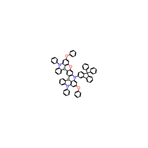 c1ccc(Oc2cc3c4c(c2)N(c2ccccc2)c2ccccc2B4c2cc4c(cc2O3)N(c2ccc3c(c2)-c2ccccc2C3(c2ccccc2)c2ccccc2)c2cc(Oc3ccccc3)cc3c2B4c2ccccc2N3c2ccccc2)cc1